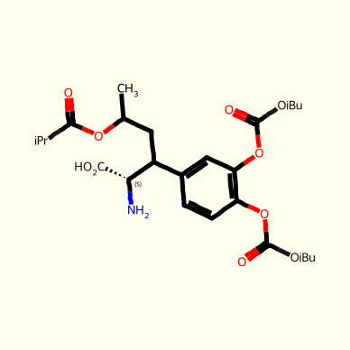 CC(C)COC(=O)Oc1ccc(C(CC(C)OC(=O)C(C)C)[C@H](N)C(=O)O)cc1OC(=O)OCC(C)C